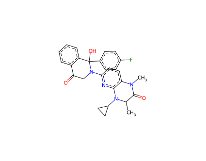 CC1C(=O)N(C)c2ccc(N3CC(=O)c4ccccc4C3(O)c3ccc(F)cc3)nc2N1C1CC1